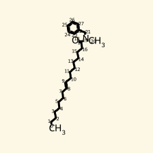 CCCCCCCCC=CCCCCCCCC(=O)N(C)Cc1ccccc1